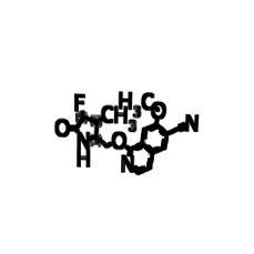 COc1cc2c(OC[C@H]3NC(=O)[C@@H](F)[C@H]3C)nccc2cc1C#N